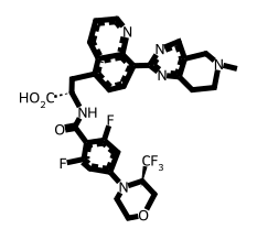 CN1CCc2nc(-c3ccc(C[C@H](NC(=O)c4c(F)cc(N5CCOC[C@@H]5C(F)(F)F)cc4F)C(=O)O)c4cccnc34)ncc2C1